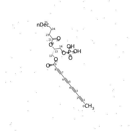 CC#CC#CC#CC#CC(=O)OC[C@@H](COP(=O)(O)O)OC(=O)CCCCCCCCCCCC